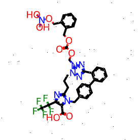 CCCc1nc(C(F)(F)C(F)(F)F)c(C(=O)O)n1Cc1ccc(-c2ccccc2-c2nnn(COC(=O)OCc3ccccc3CON(O)O)n2)cc1